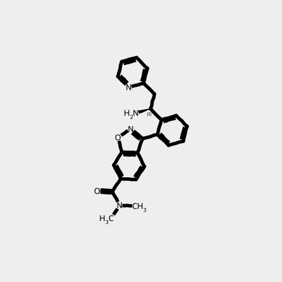 CN(C)C(=O)c1ccc2c(-c3ccccc3[C@@H](N)Cc3ccccn3)noc2c1